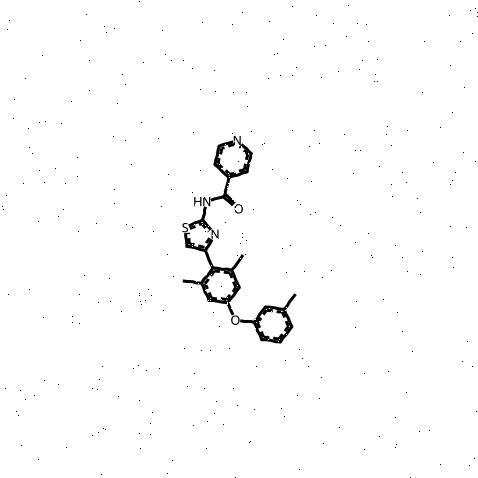 Cc1cccc(Oc2cc(C)c(-c3csc(NC(=O)c4ccncc4)n3)c(C)c2)c1